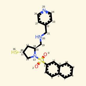 O=S(=O)(c1ccc2ccccc2c1)N1C[C@H](S)C[C@H]1CNCc1ccncc1